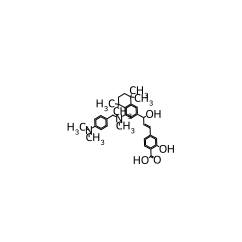 CN(C)c1ccc(CN(C)c2cc(C(O)/C=C/c3ccc(C(=O)O)c(O)c3)cc3c2C(C)(C)CCC3(C)C)cc1